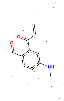 C=CC(=O)c1cc(NC)ccc1C=O